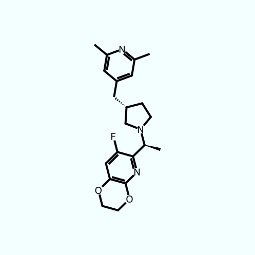 Cc1cc(C[C@@H]2CCN([C@@H](C)c3nc4c(cc3F)OCCO4)C2)cc(C)n1